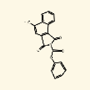 Cc1cc2c(c3ccccc13)C(=O)N(C(=O)Oc1ccccc1)C2=O